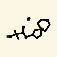 CC(C)(O)C(=O)OC1CC[N+]2(CCOCC2)C1.[Cl-]